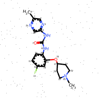 Cc1cnc(NC(=O)Nc2ccc(F)cc2OC2CCN(C)CC2)cn1